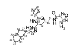 Nc1nonc1C(=O)NCCCCC(NC(=O)c1cncs1)c1ncc(-c2ccc3ccccc3c2)[nH]1